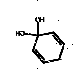 OC1(O)C=C[CH]C=C1